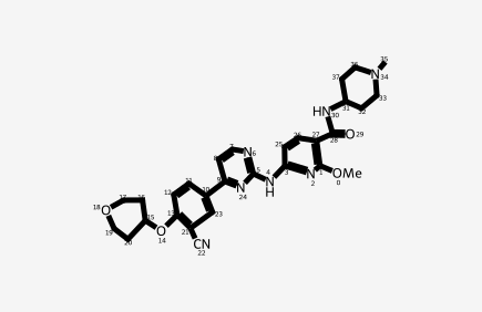 COc1nc(Nc2nccc(-c3ccc(OC4CCOCC4)c(C#N)c3)n2)ccc1C(=O)NC1CCN(C)CC1